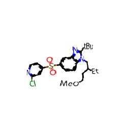 CCC(CCOC)Cn1c(C(C)(C)C)nc2cc(S(=O)(=O)c3ccnc(Cl)c3)ccc21